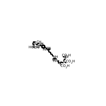 CCN(CCN(CCN(CCNCC(=O)NCCCCCC(=O)NNc1ccc(C(=O)N[C@H](C)C(=O)N2CCC[C@H]2B(O)O)cc1)CC(=O)O)CC(=O)O)CC(=O)O